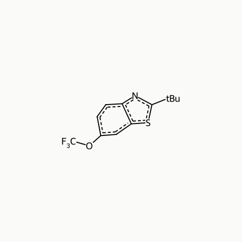 CC(C)(C)c1nc2ccc(OC(F)(F)F)cc2s1